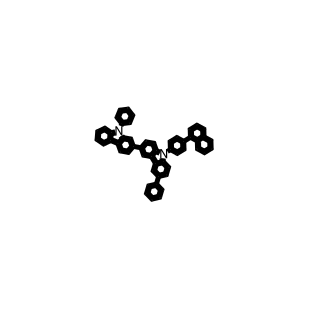 c1ccc(-c2ccc3c(c2)c2cc(-c4ccc5c6ccccc6n(-c6ccccc6)c5c4)ccc2n3-c2ccc(-c3cccc4ccccc34)cc2)cc1